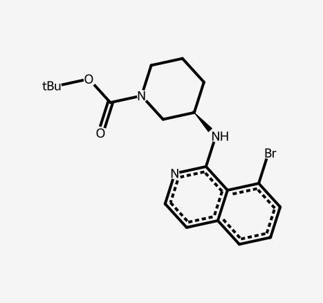 CC(C)(C)OC(=O)N1CCC[C@@H](Nc2nccc3cccc(Br)c23)C1